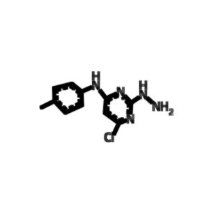 Cc1ccc(Nc2cc(Cl)nc(NN)n2)cc1